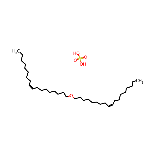 CCCCCCCC/C=C\CCCCCCCCOCCCCCCCC/C=C\CCCCCCCC.O=S(=O)(O)O